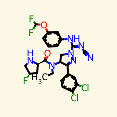 CCN(C(=O)[C@H]1C[C@@H](F)CN1)C1CN(C(=NC#N)Nc2cccc(OC(F)F)c2)N=C1c1ccc(Cl)c(Cl)c1